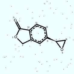 O=C1OCc2cc([C@H]3CO3)ccc21